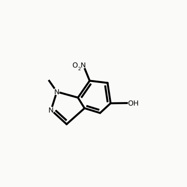 Cn1ncc2cc(O)cc([N+](=O)[O-])c21